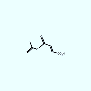 C=C(C)OC(=O)C=CC(=O)O